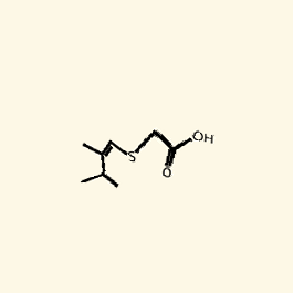 C/C(=C/SCC(=O)O)C(C)C